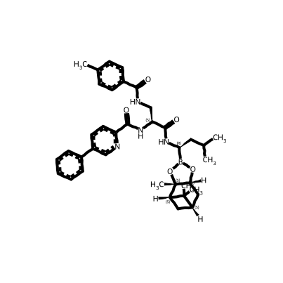 Cc1ccc(C(=O)NC[C@H](NC(=O)c2ccc(-c3ccccc3)cn2)C(=O)N[C@@H](CC(C)C)B2O[C@@H]3C[C@@H]4C[C@@H](C4(C)C)[C@]3(C)O2)cc1